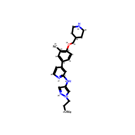 COCCn1cc(Nc2cc(-c3ccc(OCC4CCNCC4)c(C#N)c3)ccn2)cn1